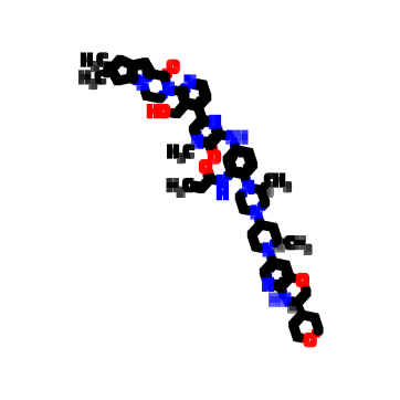 C=CC(=O)Nc1cc(Nc2nc(-c3ccnc(N4CCn5c(cc6c5CC(C)(C)C6)C4=O)c3CO)cn(C)c2=O)ccc1N1CCN(C2CCN(c3cnc4c(c3)OC[C@@H](C3CCOCC3)N4)[C@@H](C)C2)C[C@@H]1C